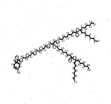 CCCCCCCCC(CCCCCC)OC(=O)CCCCCCCOCC(COCCOCCOCCOCCOC(=O)C1(C)CCN(C)CC1)OCCCCCCCC(=O)OC(CCCCCC)CCCCCCCC